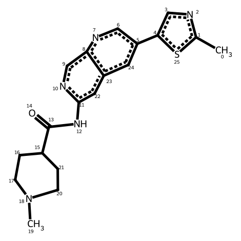 Cc1ncc(-c2cnc3cnc(NC(=O)C4CCN(C)CC4)cc3c2)s1